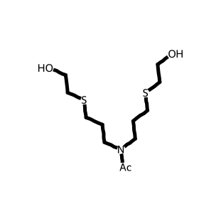 CC(=O)N(CCCSCCO)CCCSCCO